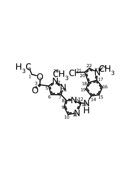 CCOC(=O)c1cc(-c2ccnc(Nc3ccc4c(c3)c(Cl)cn4C)n2)nn1C